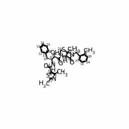 Cc1nc(C)c(C(=O)N[C@@H](Cc2ccccc2)[C@H](O)C(=O)N2CSC3(C)[C@H]2C(=O)N3Cc2ccccc2C)s1